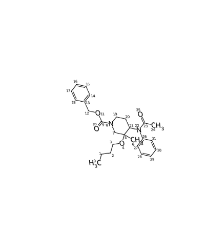 CCCCOC1(C)CN(C(=O)OCc2ccccc2)CCC1N(C(C)=O)c1ccccc1